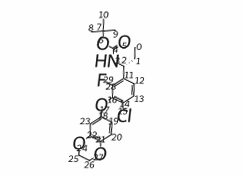 CC[C@@H](NC(=O)OC(C)(C)C)c1ccc(Cl)c(Oc2ccc3c(c2)OCCO3)c1F